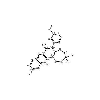 CSc1cccc(NC(=O)c2cc3ccc(F)cc3nc2N2CCCC(F)(F)CC2)c1